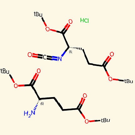 CC(C)(C)OC(=O)CC[C@H](N)C(=O)OC(C)(C)C.CC(C)(C)OC(=O)CC[C@H](N=C=O)C(=O)OC(C)(C)C.Cl